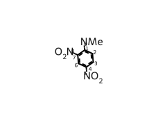 CNc1ccc([N+](=O)[O-])cc1[N+](=O)[O-]